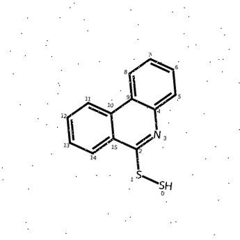 SSc1nc2ccccc2c2ccccc12